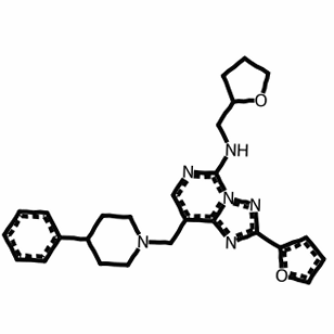 c1ccc(C2CCN(Cc3cnc(NCC4CCCO4)n4nc(-c5ccco5)nc34)CC2)cc1